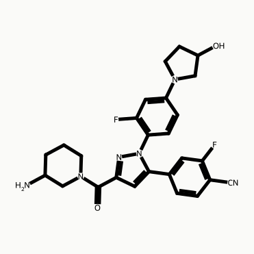 N#Cc1ccc(-c2cc(C(=O)N3CCCC(N)C3)nn2-c2ccc(N3CCC(O)C3)cc2F)cc1F